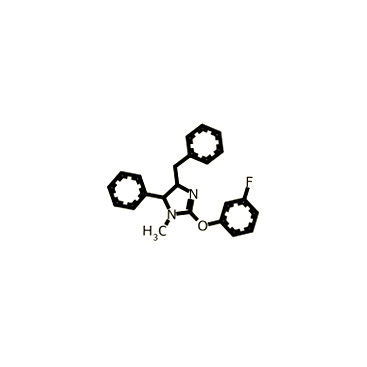 CN1C(Oc2cccc(F)c2)=NC(Cc2ccccc2)C1c1ccccc1